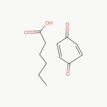 CCCCCC(=O)O.O=C1C=CC(=O)C=C1